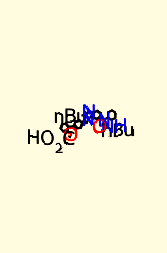 CCCCNC(=O)N(c1ccc2nc(CCCC)n(Cc3ccc(-c4ccccc4OC(=O)O)cc3)c2c1)C1CCCCC1